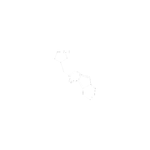 C1=CCC2=c3nc(CC4CCNC4)sc3=CC2=C1